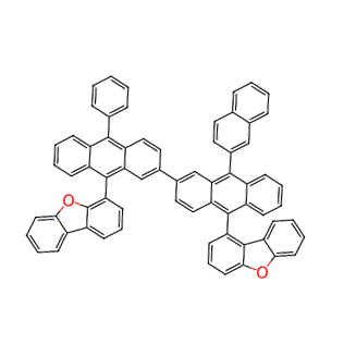 c1ccc(-c2c3ccccc3c(-c3cccc4c3oc3ccccc34)c3cc(-c4ccc5c(-c6cccc7oc8ccccc8c67)c6ccccc6c(-c6ccc7ccccc7c6)c5c4)ccc23)cc1